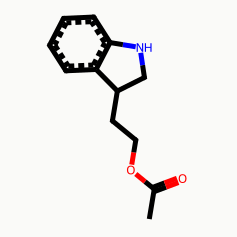 CC(=O)OCCC1CNc2ccccc21